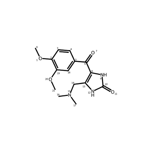 COc1ccc(C(=O)c2[nH]c(=O)[nH]c2CN(C)C)cc1OC